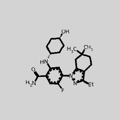 CCc1nn(-c2cc(N[C@H]3CC[C@H](O)CC3)c(C(N)=O)cc2F)c2c1CCC(C)(C)C2